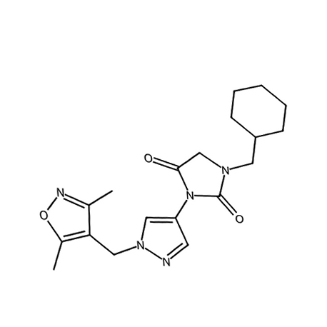 Cc1noc(C)c1Cn1cc(N2C(=O)CN(CC3CCCCC3)C2=O)cn1